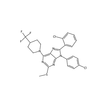 CSc1nc(N2CCC(C(F)(F)F)CC2)c2nc(-c3ccccc3Cl)n(-c3ccc(Cl)cc3)c2n1